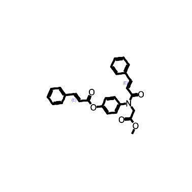 COC(=O)CN(C(=O)/C=C/c1ccccc1)c1ccc(OC(=O)/C=C/c2ccccc2)cc1